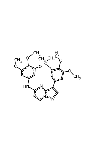 COc1cc(Nc2ccn3ncc(-c4cc(OC)c(OC)c(OC)c4)c3n2)cc(OC)c1OC